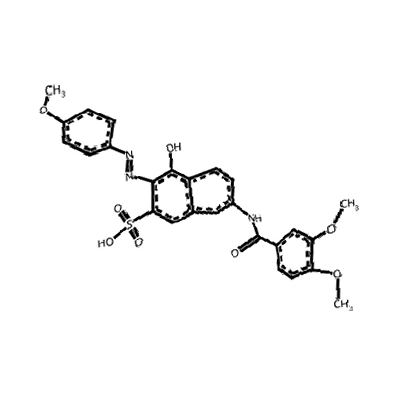 COc1ccc(N=Nc2c(S(=O)(=O)O)cc3cc(NC(=O)c4ccc(OC)c(OC)c4)ccc3c2O)cc1